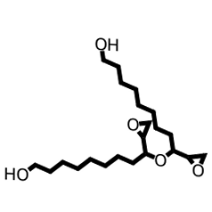 OCCCCCCCCC(OC(CCCCCCCCO)C1CO1)C1CO1